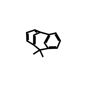 CC1(C)c2cccc(c2)-c2cccc1c2